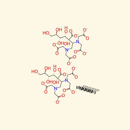 O=C([O-])CN(CC(=O)[O-])CC(N(CC(=O)[O-])CC(=O)[O-])[C@](O)(C(=O)[O-])[C@@H](O)[C@H](O)[C@H](O)CO.O=C([O-])CN(CC(=O)[O-])CC(N(CC(=O)[O-])CC(=O)[O-])[C@](O)(C(=O)[O-])[C@@H](O)[C@H](O)[C@H](O)CO.[Mg+2].[Mg+2].[Mg+2].[Mg+2].[Mg+2]